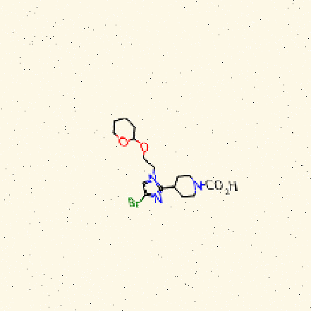 O=C(O)N1CCC(c2nc(Br)cn2CCOC2CCCCO2)CC1